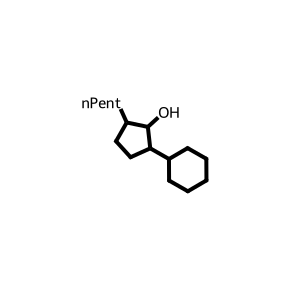 CCCCCC1CCC(C2CCCCC2)C1O